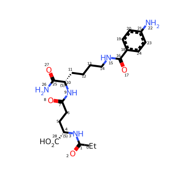 CCC(=O)N[C@@H](CCC(=O)N[C@@H](CCCCNC(=O)c1ccc(N)cc1)C(N)=O)C(=O)O